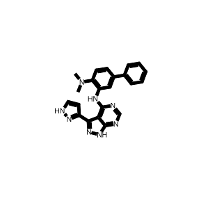 CN(C)c1ccc(-c2ccccc2)cc1Nc1ncnc2[nH]nc(-c3cc[nH]n3)c12